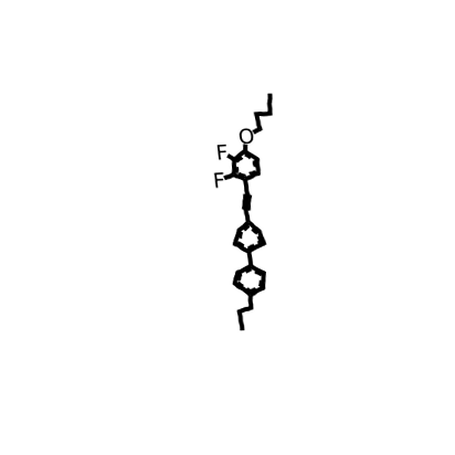 CCCCOc1ccc(C#Cc2ccc(-c3ccc(CCC)cc3)cc2)c(F)c1F